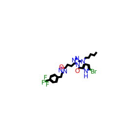 CCCCCn1c2cc(Br)[nH]c2c(=O)n2c(CCc3nc(Cc4ccc(C(F)(F)F)cc4)no3)nnc12